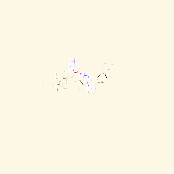 CC(OC(C)(C)C)C(Cc1ncnc(N2CCCC2c2ccc(C(F)(F)F)cc2)c1F)C(N)=O